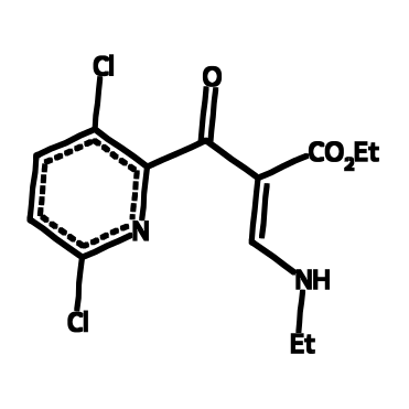 CCNC=C(C(=O)OCC)C(=O)c1nc(Cl)ccc1Cl